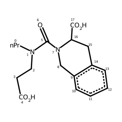 CCCN(CCC(=O)O)C(=O)N1Cc2ccccc2CC1C(=O)O